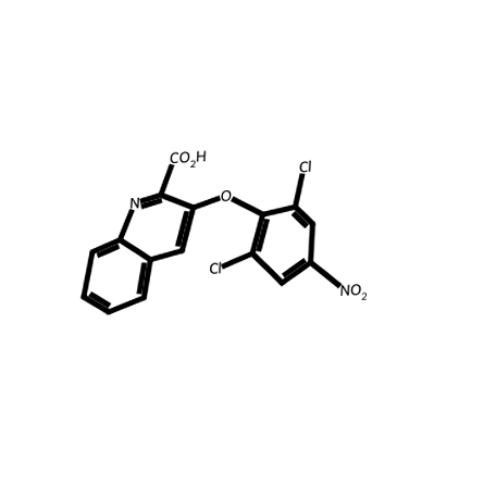 O=C(O)c1nc2ccccc2cc1Oc1c(Cl)cc([N+](=O)[O-])cc1Cl